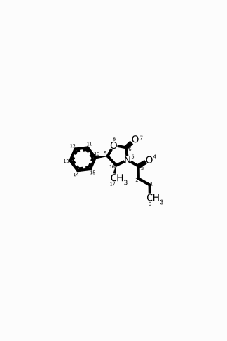 CCCC(=O)N1C(=O)O[C@H](c2ccccc2)[C@@H]1C